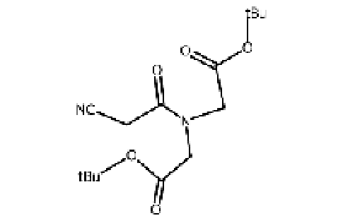 CC(C)(C)OC(=O)CN(CC(=O)OC(C)(C)C)C(=O)CC#N